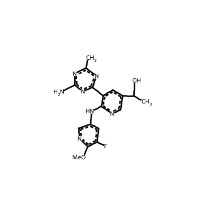 COc1ncc(Nc2ncc(C(C)O)cc2-c2nc(C)nc(N)n2)cc1F